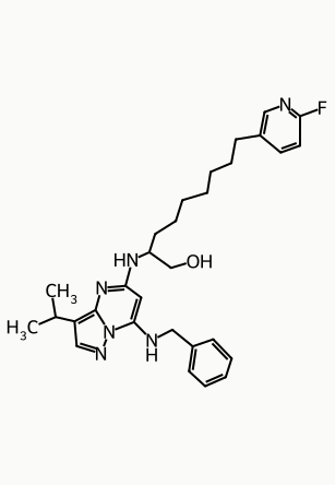 CC(C)c1cnn2c(NCc3ccccc3)cc(NC(CO)CCCCCCCc3ccc(F)nc3)nc12